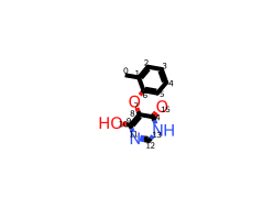 Cc1ccccc1Oc1c(O)nc[nH]c1=O